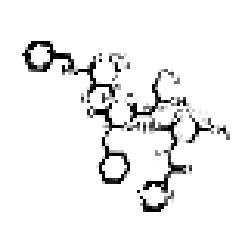 CC[C@H](NC(=O)[C@H](CC1CCCCC1)NC(=O)[C@@H](NC(=O)[C@H](CC(C)C)NC(=O)c1cnccn1)[C@H](C)CC)C(=O)C(=O)NCc1ccccc1